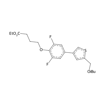 CCOC(=O)CCCOc1c(F)cc(-c2csc(COCC(C)C)c2)cc1F